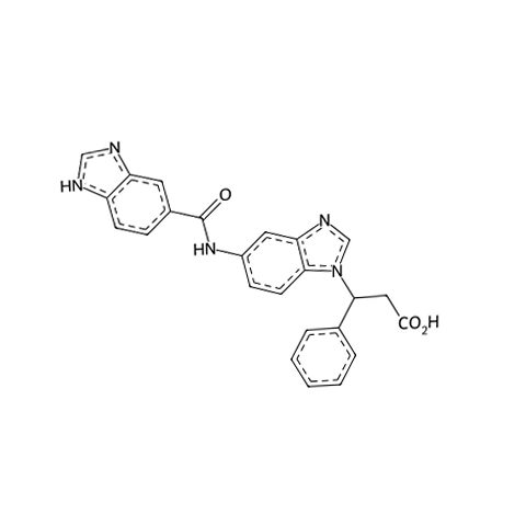 O=C(O)CC(c1ccccc1)n1cnc2cc(NC(=O)c3ccc4[nH]cnc4c3)ccc21